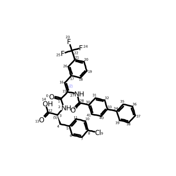 O=C(N[C@@H](Cc1ccc(Cl)cc1)C(=O)O)/C(=C/c1cccc(C(F)(F)F)c1)NC(=O)c1ccc(-c2ccccc2)cc1